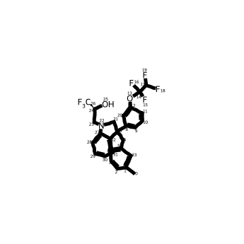 Cc1cccc(CC2(c3cccc(OC(F)(F)C(F)F)c3)CN(C[C@@H](O)C(F)(F)F)c3ccccc32)c1